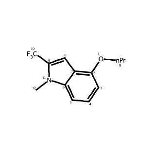 CCCOc1cccc2c1cc(C(F)(F)F)n2C